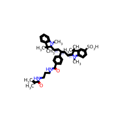 C=C(C)C(=O)NCCCNC(=O)c1ccc(C(=C\C=C2\N(C)c3ccc(S(=O)(=O)O)cc3C2(C)C)/C=C/C2N(C)c3ccccc3C2(C)C)cc1